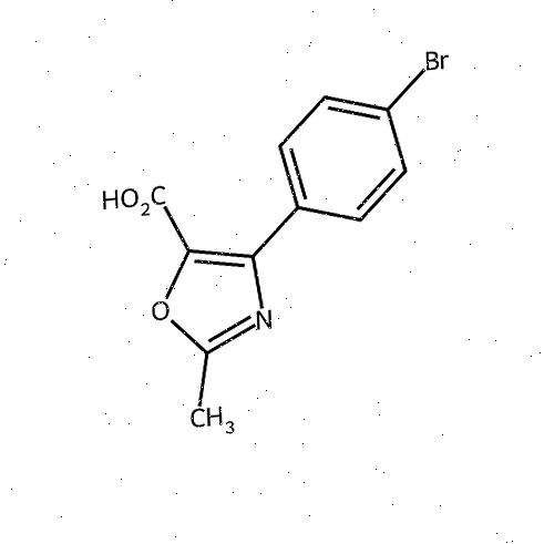 Cc1nc(-c2ccc(Br)cc2)c(C(=O)O)o1